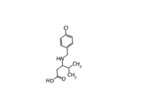 CC(C)C(CC(=O)O)NCc1ccc(Cl)cc1